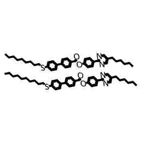 CCCCCCCCCCSc1ccc(-c2ccc(C(=O)Oc3ccc(-c4ncc(CCCCCC)cn4)cc3)cc2)cc1.CCCCCCCCCSc1ccc(-c2ccc(C(=O)Oc3ccc(-c4ncc(CCCCCC)cn4)cc3)cc2)cc1